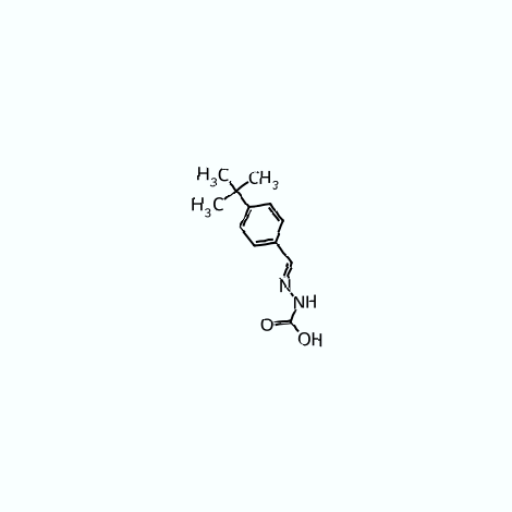 CC(C)(C)c1ccc(C=NNC(=O)O)cc1